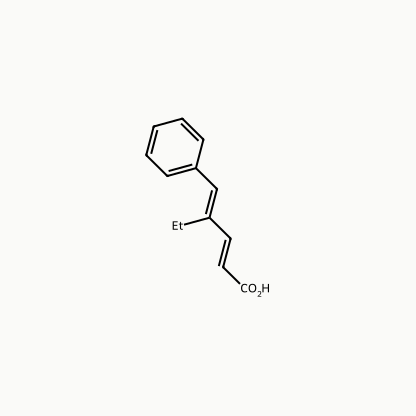 CCC(/C=C/C(=O)O)=C\c1ccccc1